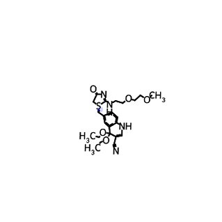 CCOC1(OCC)C(C#N)=CNc2ccc(/C=S3/CC(=O)N=C3NCCOCCOC)cc21